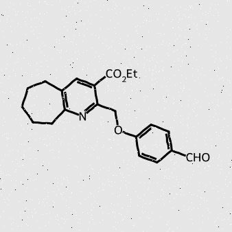 CCOC(=O)c1cc2c(nc1COc1ccc(C=O)cc1)CCCCC2